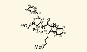 COCCCCn1c(C(=O)N(CC(C)C)[C@H]2C[C@@H](Cn3cccn3)CN(C(=O)O)C2C(C)(C)C)nc2ccccc21